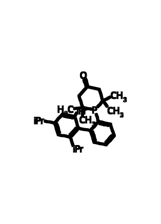 CC(C)c1cc(C(C)C)c(-c2ccccc2P2C(C)(C)CC(=O)CC2(C)C)c(C(C)C)c1